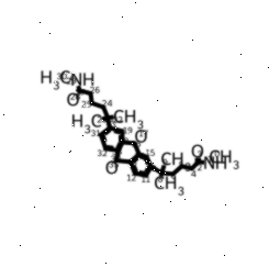 CNC(=O)CCCC(C)(C)c1ccc2c(c1)C(=O)c1cc(C(C)(C)CCCC(=O)NC)ccc1C2=O